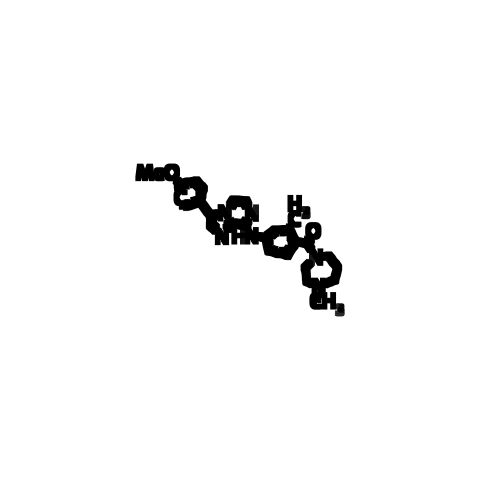 COc1ccc(-c2cnc3c(Nc4ccc(C(=O)N5CCCN(C)CC5)c(C)c4)nccn23)cc1